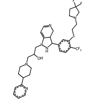 OC(CN1CCC(c2ccccn2)CC1)CN1NC(c2ccc(C(F)(F)F)c(SCCN3CCC(F)(F)C3)c2)C2CN=CC=C21